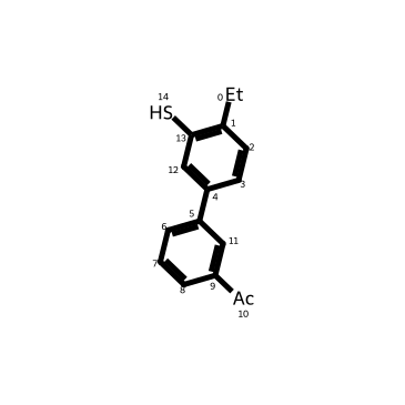 CCc1ccc(-c2cccc(C(C)=O)c2)cc1S